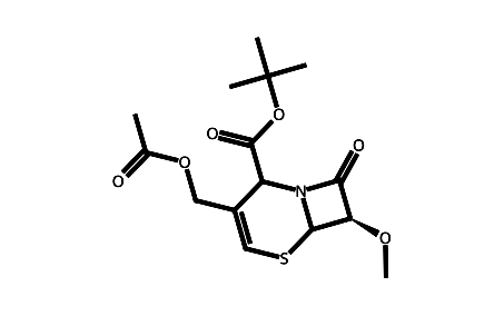 CO[C@@H]1C(=O)N2C(C(=O)OC(C)(C)C)C(COC(C)=O)=CSC12